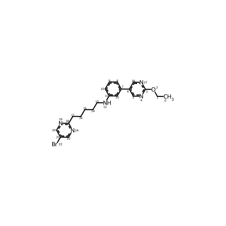 CCOc1ncc(-c2cccc(NCCCCCc3ncc(Br)cn3)c2)cn1